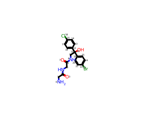 NCC(=O)NCC(=O)NCC(O)(c1ccc(Cl)cc1)c1ccc(Br)cc1